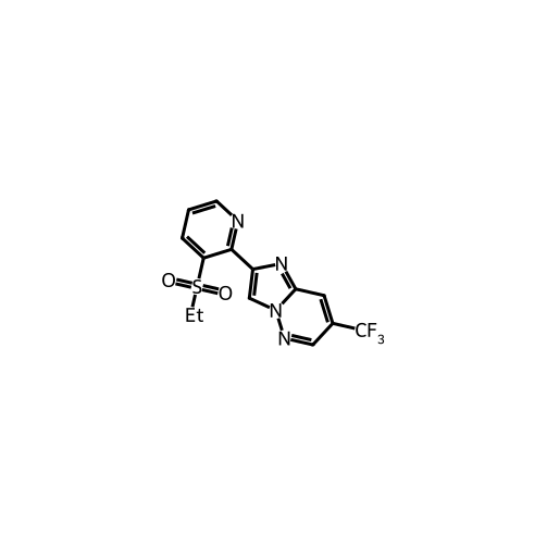 CCS(=O)(=O)c1cccnc1-c1cn2ncc(C(F)(F)F)cc2n1